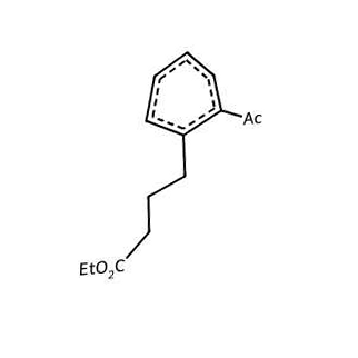 CCOC(=O)CCCc1ccccc1C(C)=O